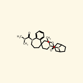 CCOC(=O)N1C2CCC1CC(N1CCC3(CCCN(C(=O)N(C)C)c4ccccc43)CC1)C2